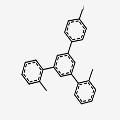 Cc1ccccc1-c1cc(-c2ccc(I)cc2)cc(-c2ccccc2C)c1